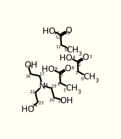 CCC(=O)O.CCC(=O)O.CCC(=O)O.OCCN(CCO)CCO